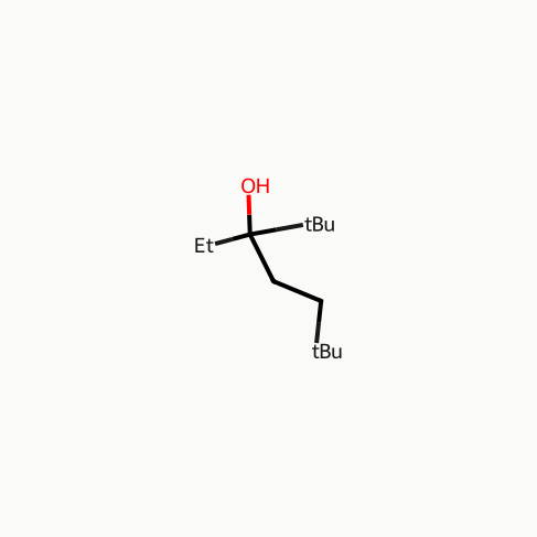 CCC(O)(CCC(C)(C)C)C(C)(C)C